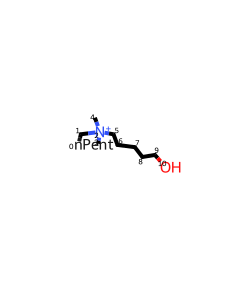 CCCCCC[N+](C)(C)CCCCCO